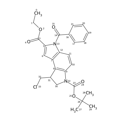 CCOC(=O)c1cc2c3c(ccc2n1C(=O)c1ccccc1)N(C(=O)OC(C)(C)C)CC3CCl